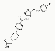 O=C(O)CC1CCC(c2ccc(C(=O)Nc3nnc(COc4ccc(F)cc4)s3)cc2)CC1